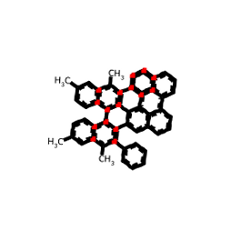 Cc1ccc(N(/C(=C/c2ccccc2)c2cc3cccc4c5cccc6cccc(c(c2/C(=C\c2ccccc2)N(c2ccc(C)cc2)c2ccc(C)cc2)c34)c65)c2ccc(C)cc2)cc1